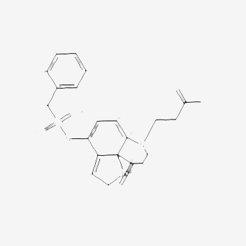 O=C(O)CCN1CCC(=O)C23NCC=C2C(NS(=O)(=O)Cc2ccccc2)=CC=C13